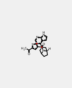 CC(=O)c1cc(C(=O)N2C3CC[C@H]2CN(c2ncnc4[nH]ccc24)C3)cs1